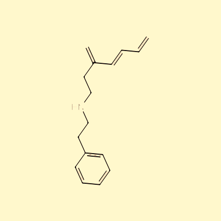 C=CC=CC(=C)CCNCCc1ccccc1